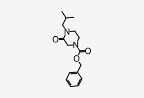 CC(C)CN1CCN(C(=O)OCc2ccccc2)CC1=O